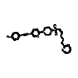 O=S(=O)(/C=C\CCCc1ncccn1)N1CCN(c2ccc(C#Cc3ccc(F)cc3)cn2)CC1